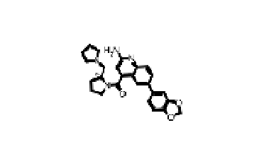 Nc1cc(C(=O)N2CCC[C@H]2CN2CCCC2)c2cc(-c3ccc4c(c3)OCO4)ccc2n1